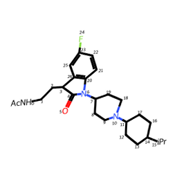 CC(=O)NCCC1C(=O)N(C2CCN(C3CCC(C(C)C)CC3)CC2)c2ccc(F)cc21